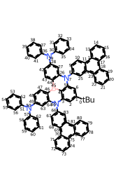 CC(C)(C)c1cc2c3c(c1)N(c1ccc4c5ccccc5c5ccccc5c4c1)c1cc(N(c4ccccc4)c4ccccc4)ccc1B3c1ccc(N(c3ccccc3)c3ccccc3)cc1N2c1ccc2c3ccccc3c3ccccc3c2c1